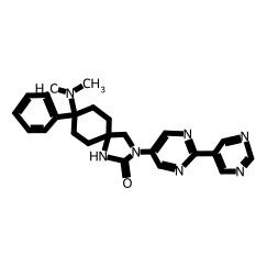 CN(C)C1(c2ccccc2)CCC2(CC1)CN(c1cnc(-c3cncnc3)nc1)C(=O)N2